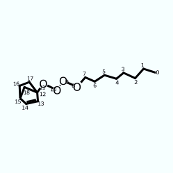 CCCCCCCCOOOOC12C=CC(CC1)C2